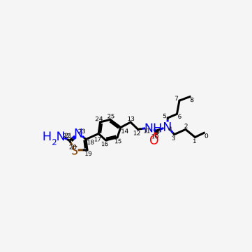 CCCCN(CCCC)C(=O)NCCc1ccc(-c2csc(N)n2)cc1